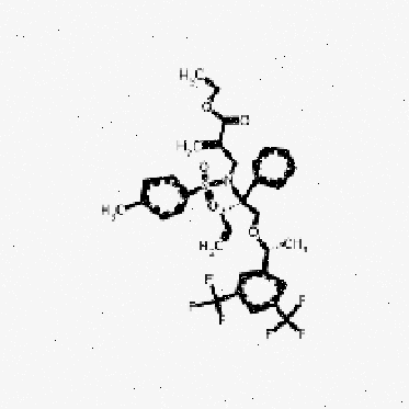 C=CC[C@@](CO[C@H](C)c1cc(C(F)(F)F)cc(C(F)(F)F)c1)(c1ccccc1)N(CC(=C)C(=O)OCC)S(=O)(=O)c1ccc(C)cc1